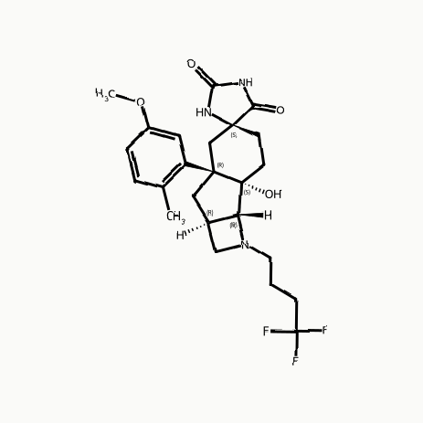 COc1ccc(C)c([C@]23C[C@@H]4CN(CCCC(F)(F)F)[C@H]4[C@]2(O)CC[C@@]2(C3)NC(=O)NC2=O)c1